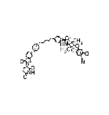 CC1(C)C(NC(=O)c2ccc(CCCCCN3CCN(c4ccc5c(c4)CN(C4CCC(=O)NC4=O)C5=O)CC3)cc2)C(C)(C)C1Oc1ccc(C#N)c(Cl)c1